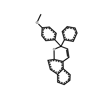 COc1ccc(C2(c3ccccc3)C=Cc3c(ccc4ccccc34)O2)cc1